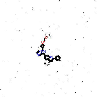 COCCOC1CC(c2nc(-c3ccc4c(C)cc(-c5ccccc5)nc4c3)c3cnccn23)C1